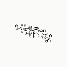 CS(=O)(=O)c1ccc(CC(NC(=O)c2c(Cl)cc3c(c2Cl)CCN(C=O)C3)C(=O)O)o1